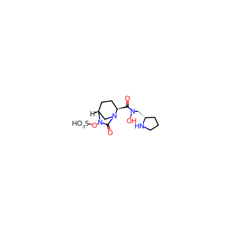 O=C([C@@H]1CC[C@@H]2CN1C(=O)N2OS(=O)(=O)O)N(O)C[C@@H]1CCCN1